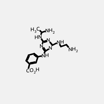 CC(N)Nc1nc(NCCN)nc(Nc2cccc(C(=O)O)c2)n1